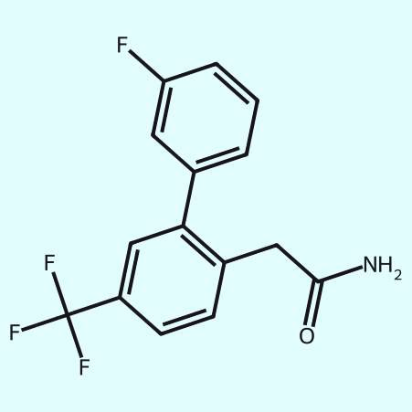 NC(=O)Cc1ccc(C(F)(F)F)cc1-c1cccc(F)c1